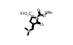 CCOC(=O)[C@H]1CC(=CN(C)C)C(=O)N1C(=O)OC(C)(C)C